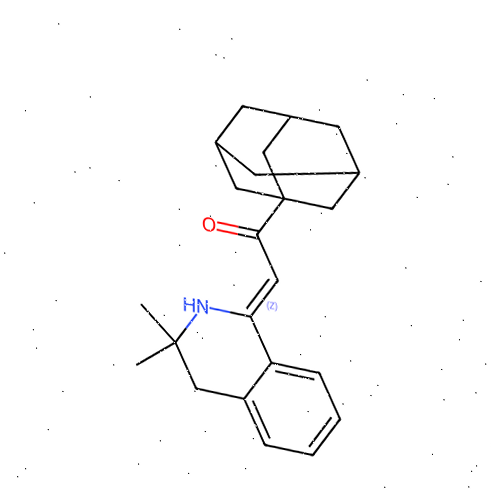 CC1(C)Cc2ccccc2/C(=C/C(=O)C23CC4CC(CC(C4)C2)C3)N1